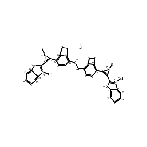 CC[n+]1c(C2=C(c3ccc(SSc4ccc(C5=C(c6sc7ccccc7[n+]6CC)N5C)c5c4CC5)c4c3CC4)N2C)sc2ccccc21.[I-].[I-]